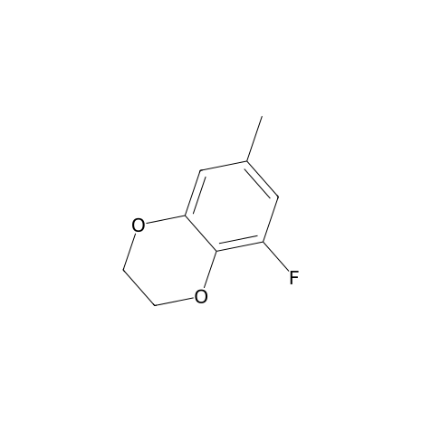 Cc1cc(F)c2c(c1)OCCO2